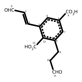 O=C/C=C/c1cc(C(=O)O)cc(CCC=O)c1C(=O)O